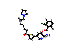 Cc1ccc(C)c(COc2cc(-c3ccc(C(=O)CCCCC(C)CN4CCCC4)s3)cnc2N)c1Cl